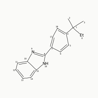 CCC(C)(C)c1ccc(-c2nc3ccccc3[nH]2)cc1